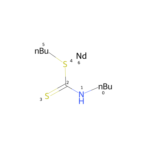 CCCCNC(=S)SCCCC.[Nd]